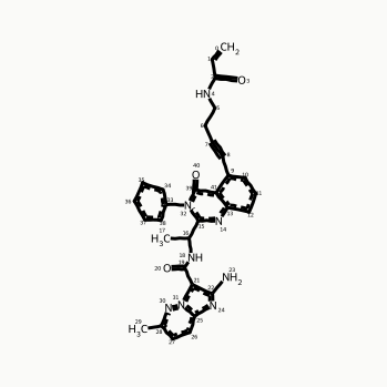 C=CC(=O)NCCC#Cc1cccc2nc(C(C)NC(=O)c3c(N)nc4ccc(C)nn34)n(-c3ccccc3)c(=O)c12